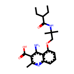 CCC(CC)C(=O)NC(C)(C)COc1cccc2nc(C)c(C(=O)O)c(N)c12